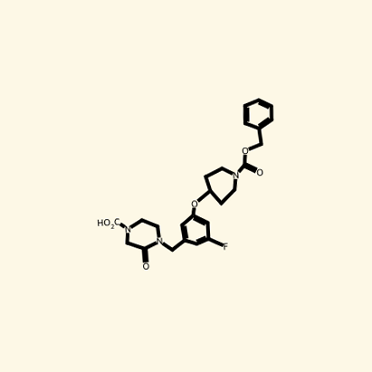 O=C(O)N1CCN(Cc2cc(F)cc(OC3CCN(C(=O)OCc4ccccc4)CC3)c2)C(=O)C1